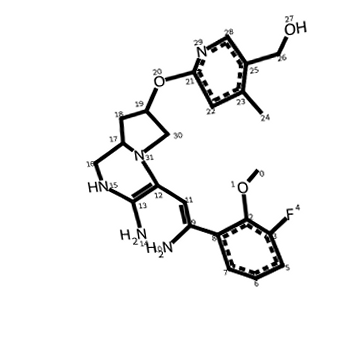 COc1c(F)cccc1/C(N)=C/C1=C(N)NCC2CC(Oc3cc(C)c(CO)cn3)CN12